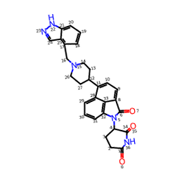 O=C1CCC(N2C(=O)c3ccc(C4CCN(Cc5cccc6[nH]ncc56)CC4)c4cccc2c34)C(=O)N1